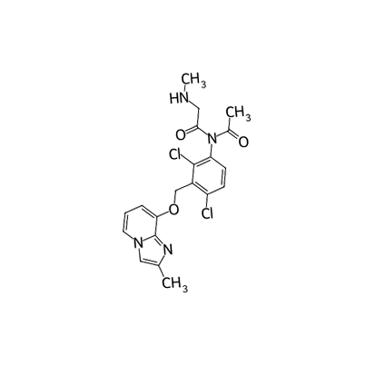 CNCC(=O)N(C(C)=O)c1ccc(Cl)c(COc2cccn3cc(C)nc23)c1Cl